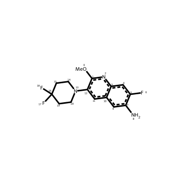 COc1nc2cc(F)c(N)cc2cc1N1CCC(F)(F)CC1